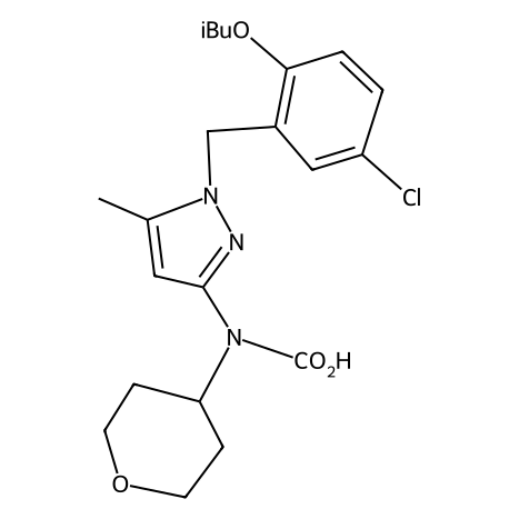 Cc1cc(N(C(=O)O)C2CCOCC2)nn1Cc1cc(Cl)ccc1OCC(C)C